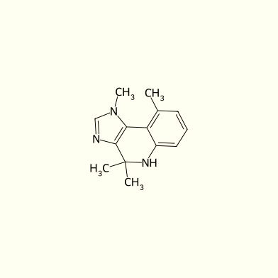 Cc1cccc2c1-c1c(ncn1C)C(C)(C)N2